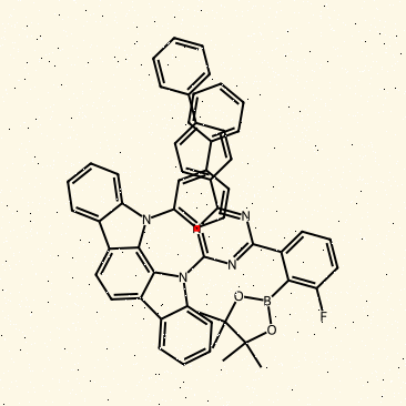 CC1(C)OB(c2c(F)cccc2-c2nc(-c3ccc(-c4ccccc4)cc3)nc(-n3c4ccccc4c4ccc5c6ccccc6n(-c6cccc(-c7ccccc7)c6)c5c43)n2)OC1(C)C